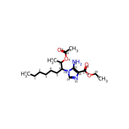 CCCCCCC(C(C)OC(C)=O)n1cnc(C(=O)OCC)c1N